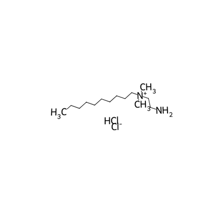 CCCCCCCCCC[N+](C)(C)CCN.Cl.[Cl-]